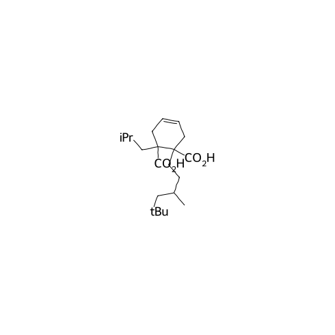 CC(C)CC1(C(=O)O)CC=CCC1(CCC(C)CC(C)(C)C)C(=O)O